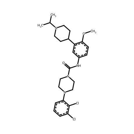 COc1ccc(NC(=O)N2CCN(c3cccc(Cl)c3Cl)CC2)cc1C1CCN(C(C)C)CC1